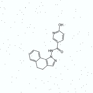 O=C(Nn1ncc2c1-c1ccccc1CC2)c1ccc(O)nc1